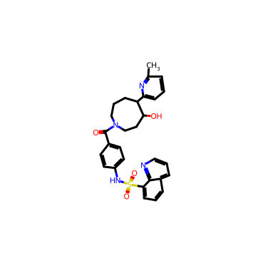 Cc1cccc(C2CCCN(C(=O)c3ccc(NS(=O)(=O)c4cccc5cccnc45)cc3)CCC2O)n1